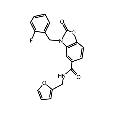 O=C(NCc1ccco1)c1ccc2oc(=O)n(Cc3ccccc3F)c2c1